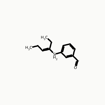 CC/C=C(\CC)[SiH2]c1cccc([C]=O)c1